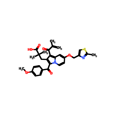 C=C(C)C(=O)c1c(CC(C)(C)C(=O)O)c(C(=O)c2ccc(OC)cc2)n2ccc(OCc3csc(C)n3)cc12